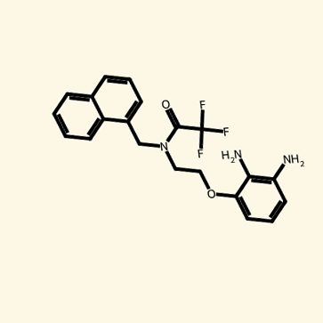 Nc1cccc(OCCN(Cc2cccc3ccccc23)C(=O)C(F)(F)F)c1N